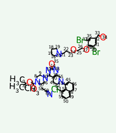 CC(C)(C)OC(=O)N1CCN(c2nc(OC[C@@H]3CCCN3CCCOCCOc3c(Br)cc(C=O)cc3Br)nc3c2CCN(c2cccc4cccc(Cl)c24)C3)C[C@@H]1CC#N